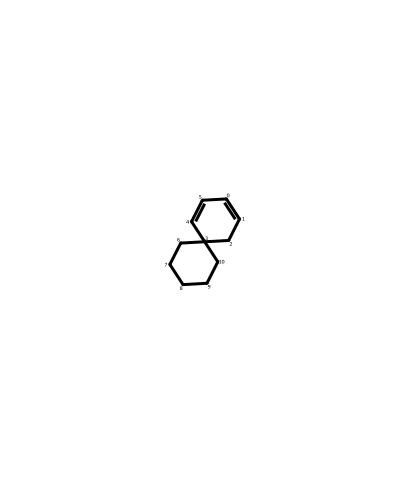 C1=CCC2(C=C1)CCCCC2